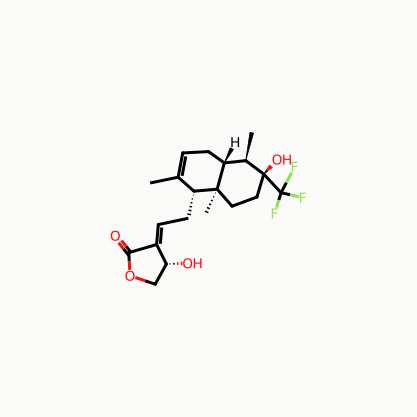 CC1=CC[C@@H]2[C@@H](C)[C@](O)(C(F)(F)F)CC[C@@]2(C)[C@@H]1C/C=C1/C(=O)OC[C@H]1O